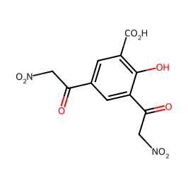 O=C(C[N+](=O)[O-])c1cc(C(=O)O)c(O)c(C(=O)C[N+](=O)[O-])c1